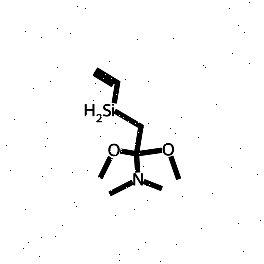 C=C[SiH2]CC(OC)(OC)N(C)C